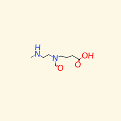 CNCCN(C=O)CCCC(=O)O